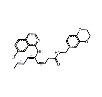 C/C=C/C=C(\C=C/CC(=O)NCc1ccc2c(c1)OCCO2)Nc1nccc2ccc(Cl)cc12